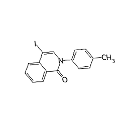 Cc1ccc(-n2cc(I)c3ccccc3c2=O)cc1